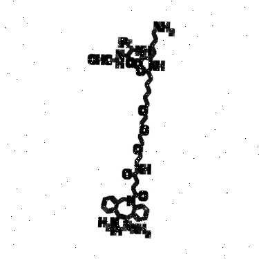 CC(C)C(NC(=O)C(CCCCN)NC(=O)CCCCCOCCOCCOCCNC(=O)CCC(=O)N1Cc2ccccc2/C(N)=C(/N(N)C(C)C)c2ccccc21)C(=O)NCC=O